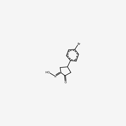 O=C1CC(c2ccc(Br)cc2)CC1=NO